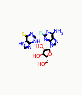 Nc1nc(F)nc2c1ncn2[C@@H]1O[C@H](CO)[C@@H](O)[C@@H]1O.S=c1nc[nH]c2nc[nH]c12